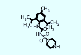 Cc1cc(C(C)C)c(NC(=O)NS(=O)(=O)N2CCNCC2)c(C(C)C)c1